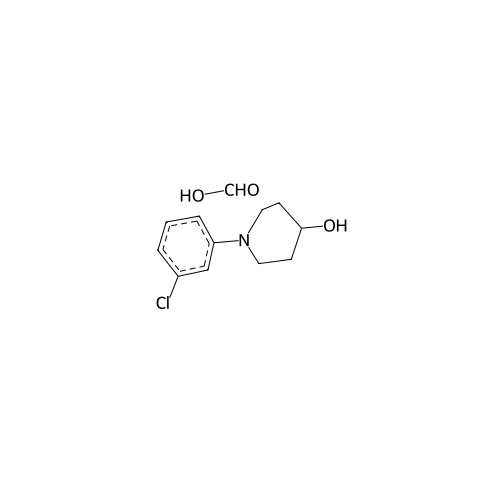 O=CO.OC1CCN(c2cccc(Cl)c2)CC1